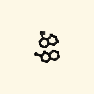 O=c1ccc2ccccc2o1.Oc1cccc2cncnc12